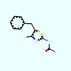 Cc1nc(NC(=O)C(C)C)sc1Cc1ccccc1